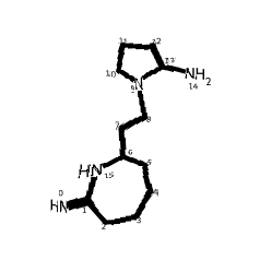 N=C1CCCCC(CCN2CCCC2N)N1